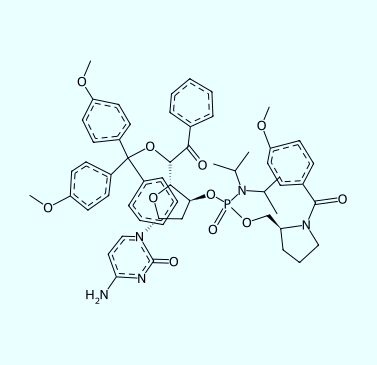 COc1ccc(C(=O)N2CCC[C@H]2COP(=O)(O[C@H]2C[C@H](n3ccc(N)nc3=O)O[C@@H]2C(OC(c2ccccc2)(c2ccc(OC)cc2)c2ccc(OC)cc2)C(=O)c2ccccc2)N(C(C)C)C(C)C)cc1